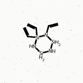 C=CN1[SiH2]N[SiH2]N[Si]1(C=C)C=C